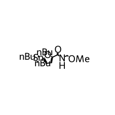 CCC[CH2][Sn]([CH2]CCC)([CH2]CCC)[c]1ccc(C(=O)NCOC)o1